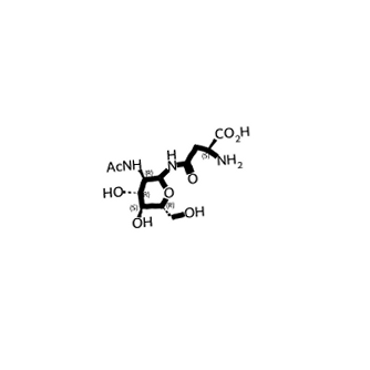 CC(=O)N[C@H]1C(NC(=O)C[C@H](N)C(=O)O)O[C@H](CO)[C@@H](O)[C@@H]1O